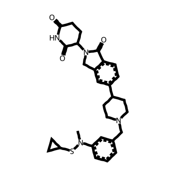 CN(SC1CC1)c1cccc(CN2CCC(c3ccc4c(c3)CN(C3CCC(=O)NC3=O)C4=O)CC2)c1